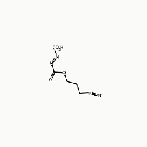 [N-]=[N+]=CCCOC(=O)N=NC(=O)O